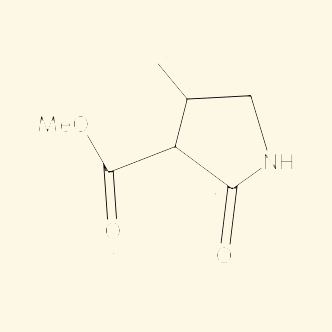 COC(=O)C1C(=O)NCC1C